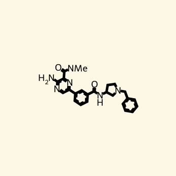 CNC(=O)c1nc(-c2cccc(C(=O)NC3CCN(Cc4ccccc4)C3)c2)cnc1N